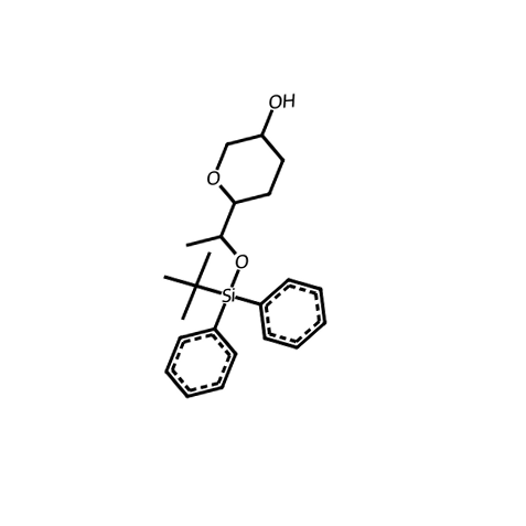 CC(O[Si](c1ccccc1)(c1ccccc1)C(C)(C)C)C1CCC(O)CO1